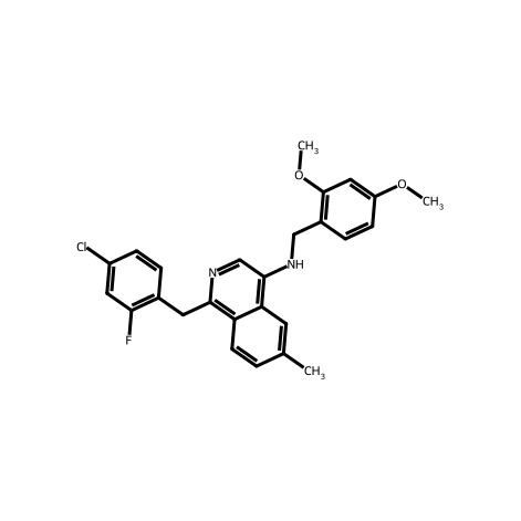 COc1ccc(CNc2cnc(Cc3ccc(Cl)cc3F)c3ccc(C)cc23)c(OC)c1